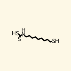 S=C(S)NCCCCCCCCCS